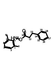 Cc1cccc(C)c1NOC(=O)CCc1ccccc1